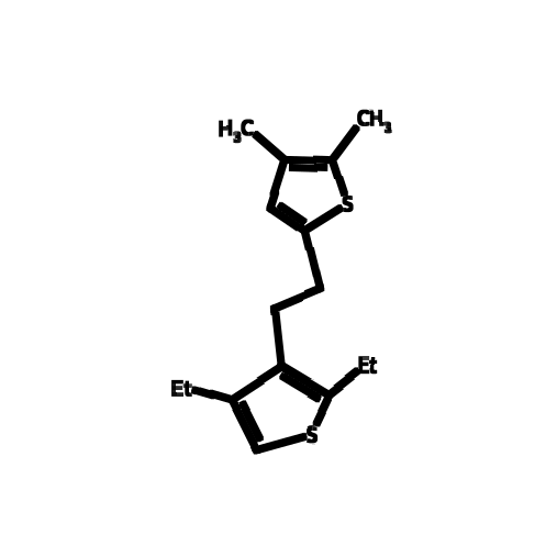 CCc1csc(CC)c1CCc1cc(C)c(C)s1